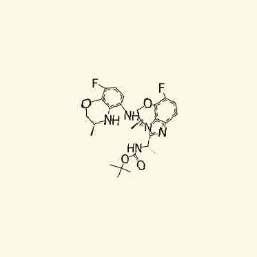 C[C@H](NC(=O)OC(C)(C)C)c1nc2ccc(F)c3c2n1[C@@H](C)CO3.C[C@H]1COc2c(F)ccc(N)c2N1